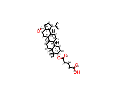 CC(C)[C@@H]1CC[C@]2(C=O)CC[C@]3(C)[C@H](CC[C@@H]4[C@@]5(C)CC[C@H](OC(=O)CCCC(=O)O)C(C)(C)[C@@H]5CC[C@]43C)[C@@H]12